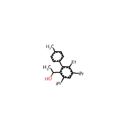 CCc1c(C(C)C)cc(C(C)C)c(C(C)O)c1-c1ccc(C)cc1